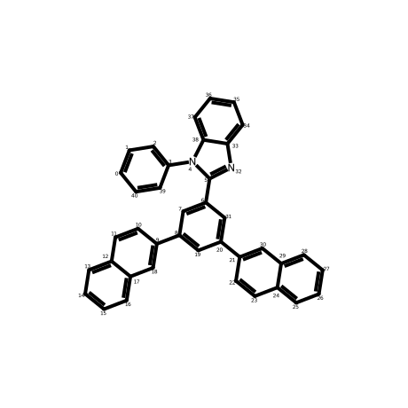 c1ccc(-n2c(-c3cc(-c4ccc5ccccc5c4)cc(-c4ccc5ccccc5c4)c3)nc3ccccc32)cc1